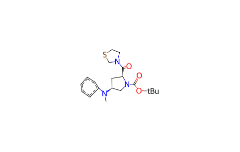 CN(c1ccccc1)[C@H]1C[C@@H](C(=O)N2CCSC2)N(C(=O)OC(C)(C)C)C1